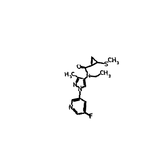 CCN(C(=O)C1CC1SC)c1cn(-c2cncc(F)c2)nc1C